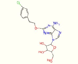 Nc1nc(OCCc2ccc(Cl)cc2)nc2c1ncn2C1OC(CO)C(O)C1O